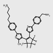 BCCCCc1ccc(-c2cc(C3=C(c4csc(-c5ccc(CN)cc5)c4)C(F)(F)C(F)(F)C3(F)F)c(C)s2)cc1